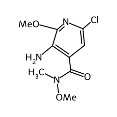 COc1nc(Cl)cc(C(=O)N(C)OC)c1N